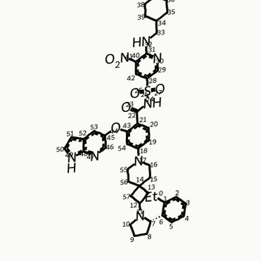 CCc1ccccc1[C@@H]1CCCN1C1CC2(CCN(c3ccc(C(=O)NS(=O)(=O)c4cnc(NCC5CCCCC5)c([N+](=O)[O-])c4)c(Oc4cnc5[nH]ccc5c4)c3)CC2)C1